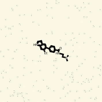 CCc1cc2[nH]ccc2cc1-c1ccc(C(=O)NCCN(C)C)cc1